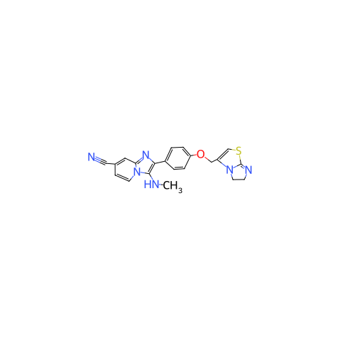 CNc1c(-c2ccc(OCC3=CSC4=NCCN34)cc2)nc2cc(C#N)ccn12